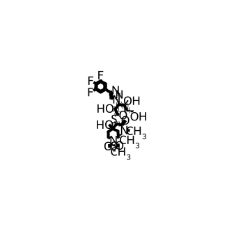 CCN(C)C(=O)[C@H](S[C@@H]1O[C@H](CO)[C@H](O)[C@H](n2cc(-c3cc(F)c(F)c(F)c3)nn2)[C@H]1O)C1(O)CCN(S(C)(=O)=O)CC1